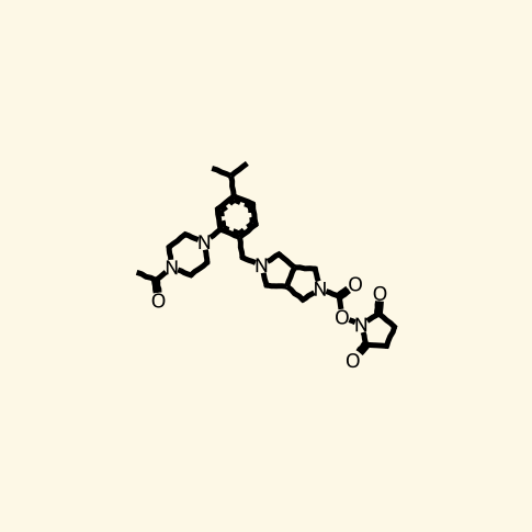 CC(=O)N1CCN(c2cc(C(C)C)ccc2CN2CC3CN(C(=O)ON4C(=O)CCC4=O)CC3C2)CC1